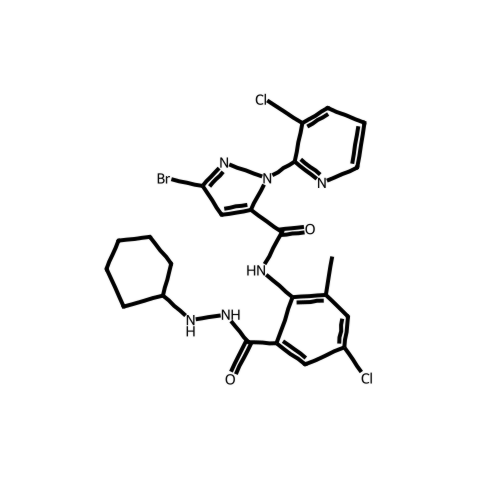 Cc1cc(Cl)cc(C(=O)NNC2CCCCC2)c1NC(=O)c1cc(Br)nn1-c1ncccc1Cl